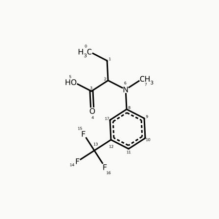 CCC(C(=O)O)N(C)c1cccc(C(F)(F)F)c1